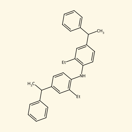 CCc1cc(C(C)c2ccccc2)ccc1Nc1ccc(C(C)c2ccccc2)cc1CC